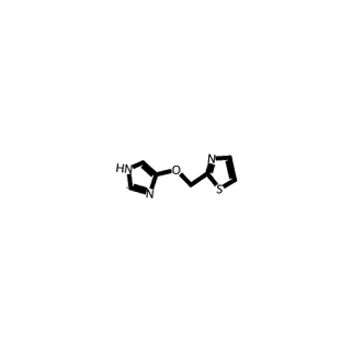 [c]1nc(OCc2nccs2)c[nH]1